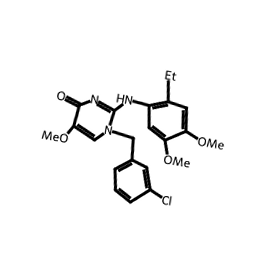 CCc1cc(OC)c(OC)cc1Nc1nc(=O)c(OC)cn1Cc1cccc(Cl)c1